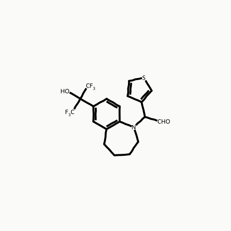 O=CC(c1ccsc1)N1CCCCc2cc(C(O)(C(F)(F)F)C(F)(F)F)ccc21